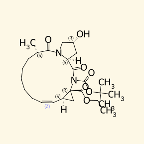 CCOC(=O)[C@@]12C[C@H]1/C=C\CCCCC[C@H](C)C(=O)N1C[C@H](O)C[C@H]1C(=O)N2C(=O)OC(C)(C)C